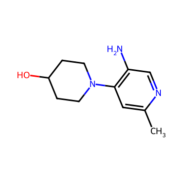 Cc1cc(N2CCC(O)CC2)c(N)cn1